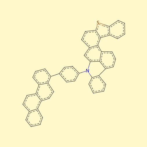 c1ccc2c(c1)-c1cccc3c1c(cc1ccc4sc5ccccc5c4c13)N2c1ccc(-c2cccc3c2ccc2c4ccccc4ccc32)cc1